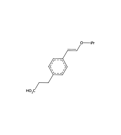 CC(C)OC=Cc1ccc(CCC(=O)O)cc1